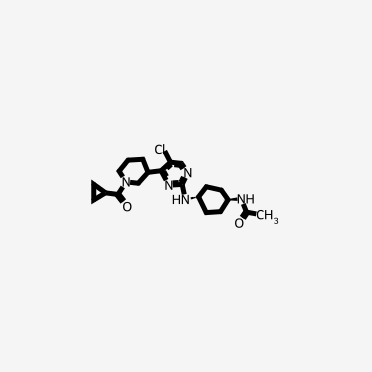 CC(=O)N[C@H]1CC[C@H](Nc2ncc(Cl)c(C3CCCN(C(=O)C4CC4)C3)n2)CC1